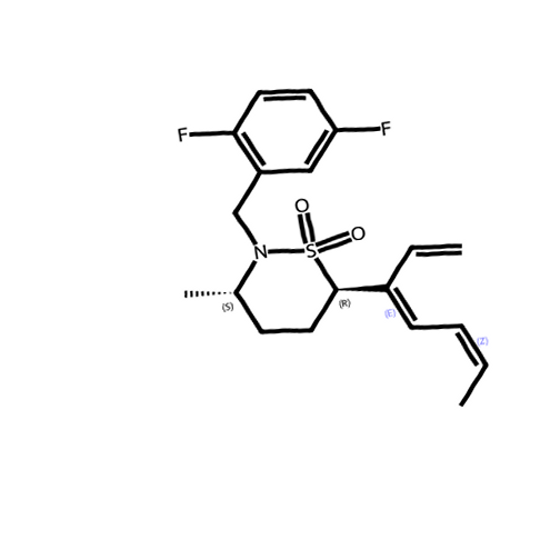 C=C/C(=C\C=C/C)[C@H]1CC[C@H](C)N(Cc2cc(F)ccc2F)S1(=O)=O